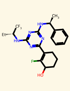 CC[C@@H](Nc1nc(N[C@@H](C)c2ccccc2)nc(C2=C(F)C(O)CCC2)n1)C(F)(F)F